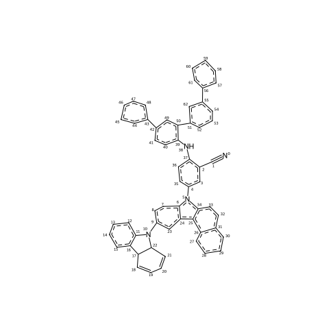 N#Cc1cc(-n2c3ccc(N4c5ccccc5C5C=CC=CC54)cc3c3c4ccccc4ccc32)ccc1Nc1ccc(-c2ccccc2)cc1-c1cccc(-c2ccccc2)c1